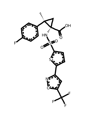 C[C@]1(c2ccc(F)cc2)C[C@@]1(NS(=O)(=O)c1ccc(-c2cc(C(F)(F)F)on2)s1)C(=O)O